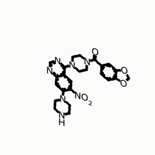 O=C(c1ccc2c(c1)OCO2)N1CCN(c2ncnc3cc(N4CCNCC4)c([N+](=O)[O-])cc23)CC1